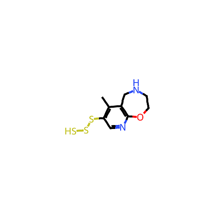 Cc1c(SSS)cnc2c1CNCCO2